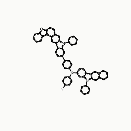 Fc1ccc(N(c2ccc(-c3ccc4c5cc6c(ccc7oc8ccccc8c76)cc5n(-c5ccccc5)c4c3)cc2)c2ccc3c4cc5ccccc5cc4n(-c4ccccc4)c3c2)cc1